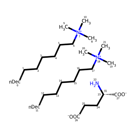 CCCCCCCCCCCCCCCC[N+](C)(C)C.CCCCCCCCCCCCCCCC[N+](C)(C)C.N[C@@H](CCC(=O)[O-])C(=O)[O-]